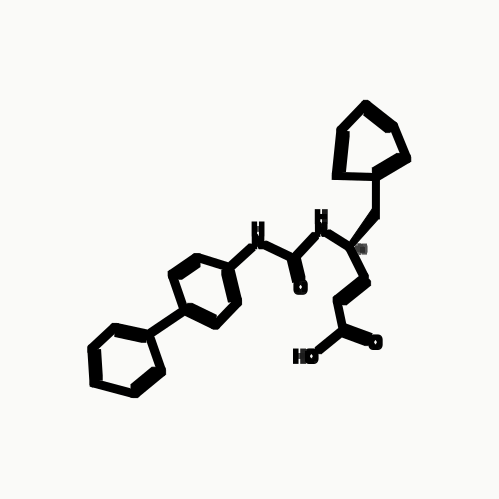 O=C(O)C=C[C@H](Cc1ccccc1)NC(=O)Nc1ccc(-c2ccccc2)cc1